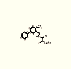 CN[C@@H](C)C(=O)NCc1cc(-c2ccccc2)ccc1C(F)(F)F